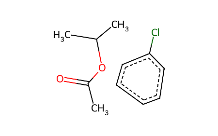 CC(=O)OC(C)C.Clc1ccccc1